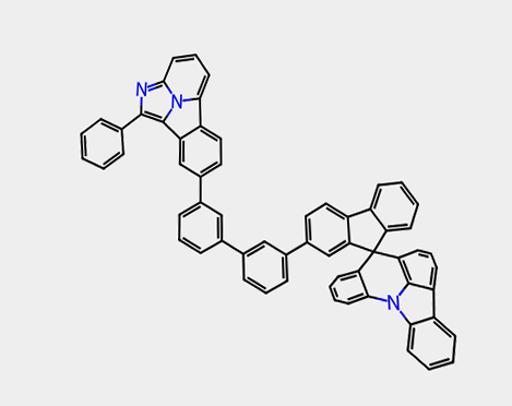 c1ccc(-c2nc3cccc4c5ccc(-c6cccc(-c7cccc(-c8ccc9c(c8)C8(c%10ccccc%10-9)c9ccccc9-n9c%10ccccc%10c%10cccc8c%109)c7)c6)cc5c2n34)cc1